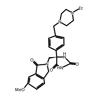 CCN1CCN(Cc2ccc([C@]3(CN4Cc5ccc(OC)cc5C4=O)NC(=O)NC3=O)cc2)CC1